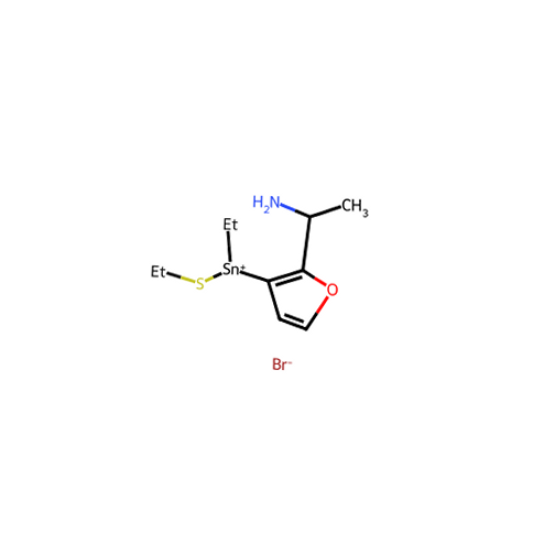 CC[S][Sn+]([CH2]C)[c]1ccoc1C(C)N.[Br-]